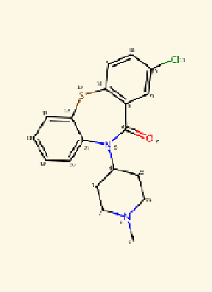 CN1CCC(N2C(=O)c3cc(Cl)ccc3Sc3ccccc32)CC1